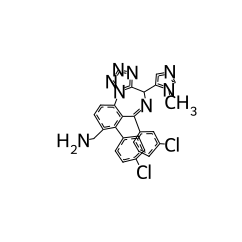 Cn1cncc1C1N=C(c2cccc(Cl)c2)c2c(ccc(CN)c2-c2ccc(Cl)cc2)-n2nnnc21